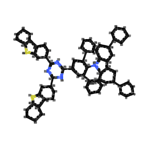 CC(C)(C)c1cc(-c2ccccc2)cc2c3cc(-c4ccccc4)ccc3n(-c3c(-c4ccccc4)cc(-c4nc(-c5ccc6c(c5)sc5ccccc56)nc(-c5ccc6c(c5)sc5ccccc56)n4)cc3-c3ccccc3)c12